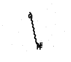 CCOCCCCCCCCCCCCCCC#CC(F)(F)F